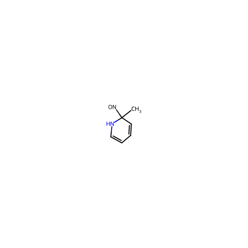 CC1(N=O)C=CC=CN1